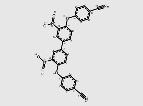 N#Cc1ccc(Oc2ccc(-c3ccc(Oc4ccc(C#N)cc4)c([N+](=O)[O-])c3)cc2[N+](=O)[O-])cc1